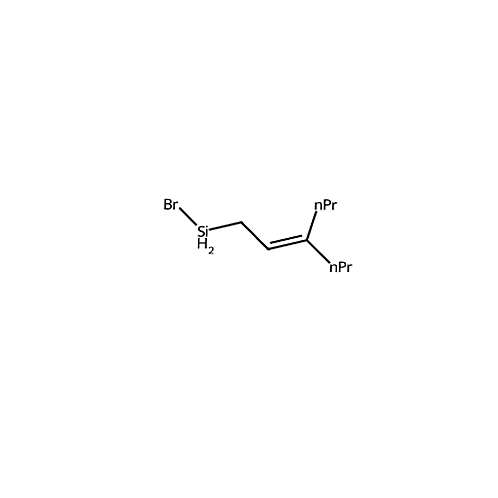 CCCC(=CC[SiH2]Br)CCC